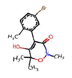 Cc1ccc(Br)cc1C1=C(O)C(C)(C)ON(C)C1=O